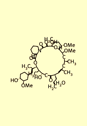 C=CC[C@@H]1C=C(C)C[C@H](C)C[C@H](OC)[C@H]2O[C@@](O)(C(=O)C(=O)N3CCCC[C@H]3C(=O)O[C@H](C(C)=CC3CC[C@@H](O)[C@H](OC)C3)[C@H](C)[C@@H](O)CC1=O)[C@H](C)C[C@@H]2OC.O